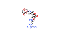 N=C(N)NCCCNC(=O)Cc1cc(=O)oc2ccc(CNC(=O)ON3C(=O)CCC3=O)cc12